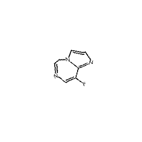 Fc1cncn2ccnc12